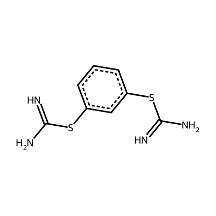 N=C(N)Sc1cccc(SC(=N)N)c1